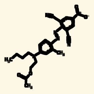 CCCCN(CCOC(C)=O)c1ccc(N=Nc2c(C#N)cc([N+](=O)[O-])cc2C#N)c(C)c1